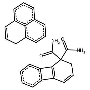 C1=Cc2cccc3cccc(c23)C1.NC(=O)C1(C(N)=O)CC=CC2=C1c1ccccc12